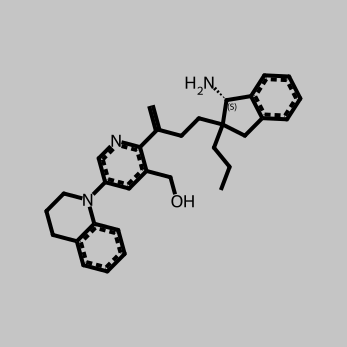 C=C(CCC1(CCC)Cc2ccccc2[C@H]1N)c1ncc(N2CCCc3ccccc32)cc1CO